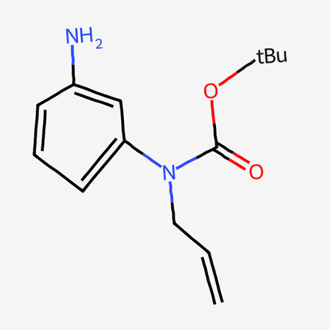 C=CCN(C(=O)OC(C)(C)C)c1cccc(N)c1